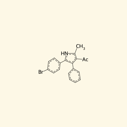 CC(=O)c1c(C)[nH]c(-c2ccc(Br)cc2)c1-c1ccccc1